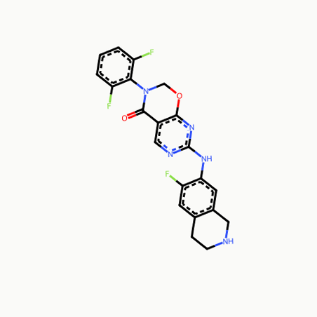 O=C1c2cnc(Nc3cc4c(cc3F)CCNC4)nc2OCN1c1c(F)cccc1F